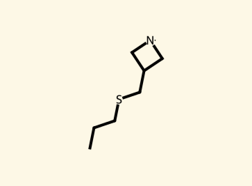 CCCSCC1C[N]C1